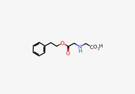 O=C(O)CNCC(=O)OCCc1ccccc1